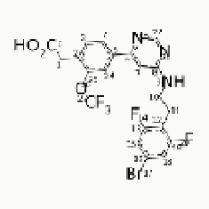 O=C(O)Cc1ccc(-c2cc(NCCc3c(F)cc(Br)cc3F)ncn2)cc1OC(F)(F)F